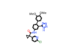 COc1ccc(-c2ccc(NC(=O)C3(c4ccc(Cl)nc4)CC3)cc2-c2nnn[nH]2)cc1OC